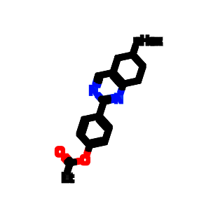 CCCCCCC1CCc2nc(-c3ccc(OC(=O)CC)cc3)ncc2C1